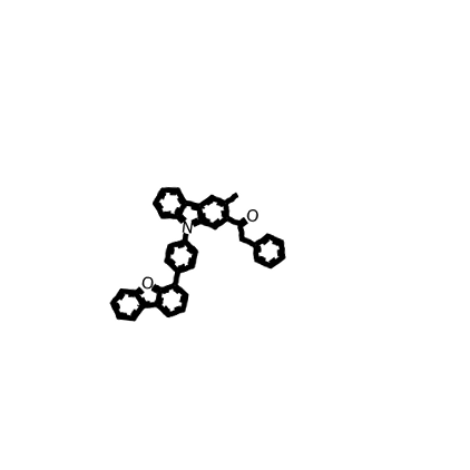 Cc1cc2c3ccccc3n(-c3ccc(-c4cccc5c4oc4ccccc45)cc3)c2cc1C(=O)Cc1ccccc1